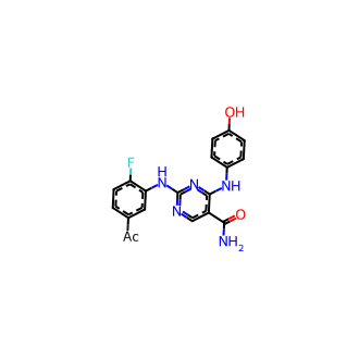 CC(=O)c1ccc(F)c(Nc2ncc(C(N)=O)c(Nc3ccc(O)cc3)n2)c1